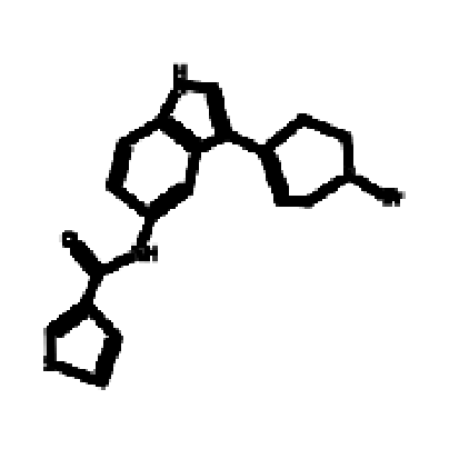 CC(C)N1CC=C(c2c[nH]c3ccc(NC(=O)c4ccsc4)cc23)CC1